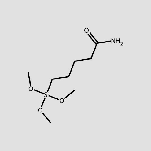 CO[Si](CCCCC(N)=O)(OC)OC